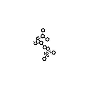 c1ccc(C2=NC3c4c(ccc5cc(-c6ccc7c(c6)c6ccsc6c6ccn(-c8cc(-c9ccccc9)cc(-c9ccccc9)c8)c76)ccc45)N(c4ccccc4)C3S2)cc1